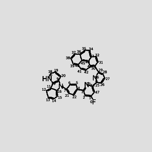 Fc1cc(-c2ccc(-n3c4c(c5ccccc53)NCC=C4)cc2)nc(-c2cccc(-c3ccc4ccc5cccc6ccc3c4c56)n2)c1